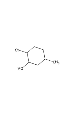 [CH2]CC1CCC(C)CC1O